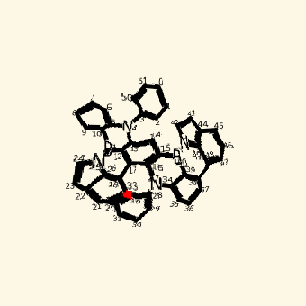 c1ccc(N2c3ccccc3B3c4c2cc2c(c4-c4cccc5ccn3c45)N(c3ccccc3)c3cccc4c3B2n2ccc3cccc-4c32)cc1